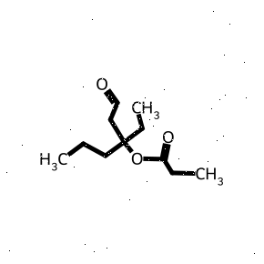 CCCC(CC)(CC=O)OC(=O)CC